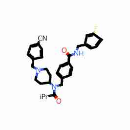 CC(C)C(=O)N(Cc1ccc(C(=O)NCc2cccc(F)c2)cc1)C1CCN(Cc2ccc(C#N)cc2)CC1